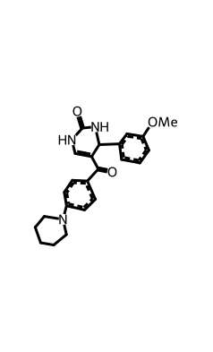 COc1cccc(C2NC(=O)NC=C2C(=O)c2ccc(N3CCCCC3)cc2)c1